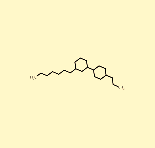 CCCCCCCC1CCCC(C2CCC(CCC)CC2)C1